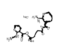 Cl.N=C(CCC(=O)OC(=O)c1cccnc1NN)OC(=O)c1cccnc1NN